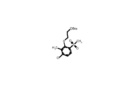 COCCOc1c(S(C)(=O)=O)ccc(Cl)c1C